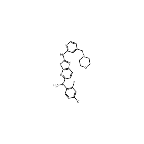 CN(c1ccc2nc(Nc3cc(CN4CCOCC4)ccn3)sc2n1)c1ccc(Cl)cc1F